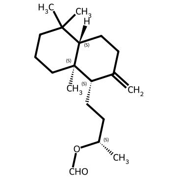 C=C1CC[C@H]2C(C)(C)CCC[C@]2(C)[C@H]1CC[C@H](C)OC=O